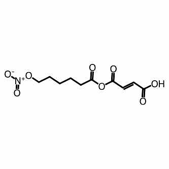 O=C(O)C=CC(=O)OC(=O)CCCCCO[N+](=O)[O-]